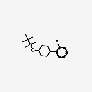 CC(C)(C)[Si](C)(C)OC1CCC(c2cc[c]cc2F)CC1